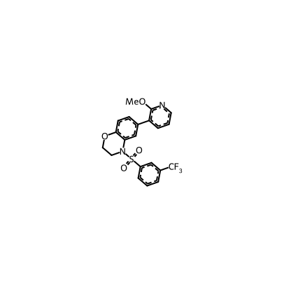 COc1ncccc1-c1ccc2c(c1)N(S(=O)(=O)c1cccc(C(F)(F)F)c1)CCO2